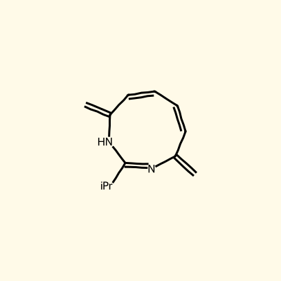 C=c1ccccc(=C)[nH]c(C(C)C)n1